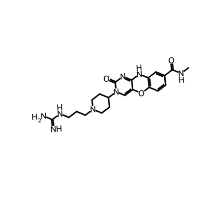 CNC(=O)c1ccc2c(c1)Nc1nc(=O)n(C3CCN(CCCNC(=N)N)CC3)cc1O2